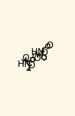 CC(C)C(=O)[C@H](NC(=O)C1CC1)c1cccc(CC(C)C(=O)[C@H](NC(=O)CC2CCOCC2)c2ccccc2)c1